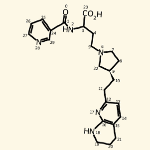 O=C(NC(CCN1CC[C@@H](CCc2ccc3c(n2)NCCC3)C1)C(=O)O)c1cccnc1